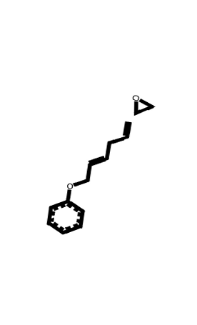 C1CO1.C=CCC=CCOc1ccccc1